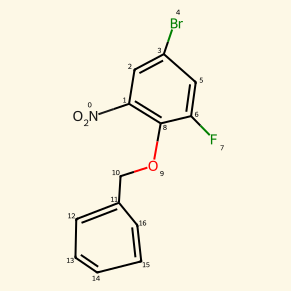 O=[N+]([O-])c1cc(Br)cc(F)c1OCc1ccccc1